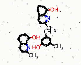 Cc1cc(C)cc(O)c1.Cc1ccc2cccc(O)c2n1.Cc1ccc2cccc(O)c2n1